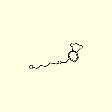 ClCCCCCOCc1ccc2c(c1)OCO2